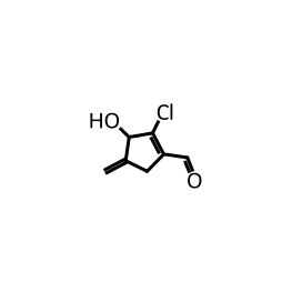 C=C1CC(C=O)=C(Cl)C1O